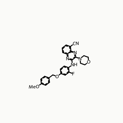 COc1ccc(COc2ccc(Nc3nc4cccc(C#N)c4nc3N3CCOCC3)c(F)c2)cc1